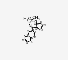 CC1(C)CN=C(c2cnc3ccccc3c2)c2ccccc2C1